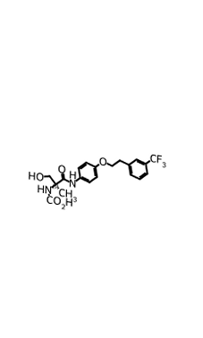 C[C@@](CO)(NC(=O)O)C(=O)Nc1ccc(OCCc2cccc(C(F)(F)F)c2)cc1